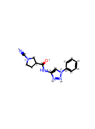 N#CN1CCC(C(=O)Nc2cn(-c3ccccc3)nn2)C1